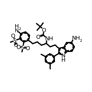 Cc1cc(C)cc(-c2[nH]c3ccc(N)cc3c2CCC(CCCc2ccc(N)c(S(C)(=O)=O)c2S(C)(=O)=O)NC(=O)OC(C)(C)C)c1